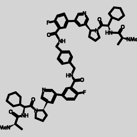 CN[C@@H](C)C(=O)N[C@H](C(=O)N1CCC[C@H]1c1cncc(-c2ccc(F)c(C(=O)NCc3ccc(CNC(=O)c4cc(-c5cncc([C@@H]6CCCN6C(=O)[C@@H](NC(=O)[C@H](C)NC)C6CCCCC6)c5)ccc4F)cc3)c2)c1)C1CCCCC1